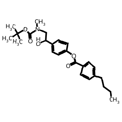 CCCCc1ccc(C(=O)Oc2ccc(C(O)CN(C)C(=O)OC(C)(C)C)cc2)cc1